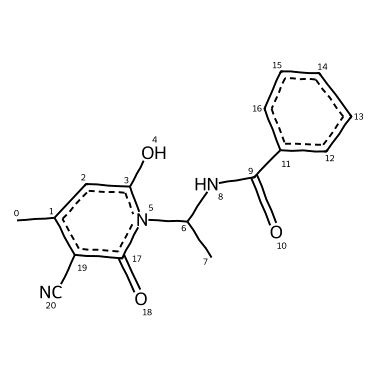 Cc1cc(O)n(C(C)NC(=O)c2ccccc2)c(=O)c1C#N